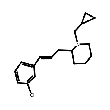 Clc1cccc(C=CCC2CCCCN2CC2CC2)c1